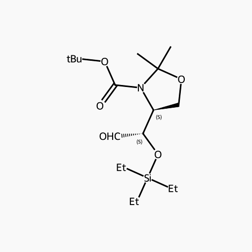 CC[Si](CC)(CC)O[C@H](C=O)[C@@H]1COC(C)(C)N1C(=O)OC(C)(C)C